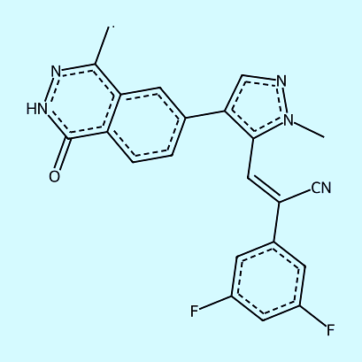 [CH2]c1n[nH]c(=O)c2ccc(-c3cnn(C)c3C=C(C#N)c3cc(F)cc(F)c3)cc12